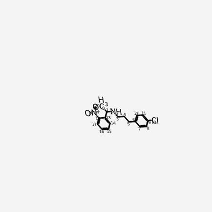 CC(NCCCc1ccc(Cl)cc1)c1ccccc1[N+](=O)[O-]